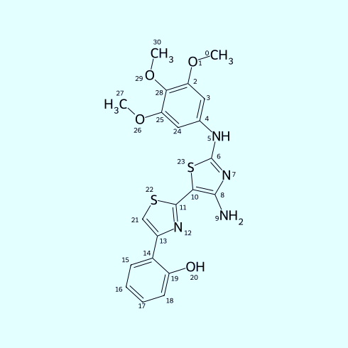 COc1cc(Nc2nc(N)c(-c3nc(-c4ccccc4O)cs3)s2)cc(OC)c1OC